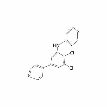 Clc1cc(-c2ccccc2)cc(Nc2ccccc2)c1Cl